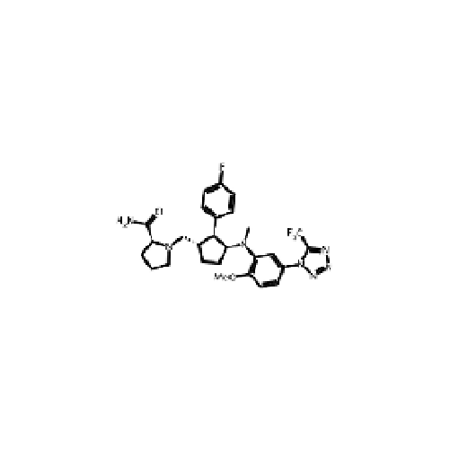 COc1ccc(-n2nnnc2C(F)(F)F)cc1N(C)[C@H]1CC[C@H](CN2CCC[C@H]2C(N)=O)[C@H]1c1ccc(F)cc1